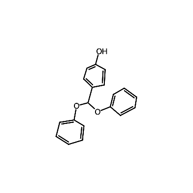 Oc1ccc(C(Oc2ccccc2)Oc2ccccc2)cc1